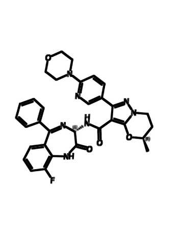 C[C@@H]1CCn2nc(-c3ccc(N4CCOCC4)nc3)c(C(=O)N[C@H]3N=C(c4ccccc4)c4cccc(F)c4NC3=O)c2O1